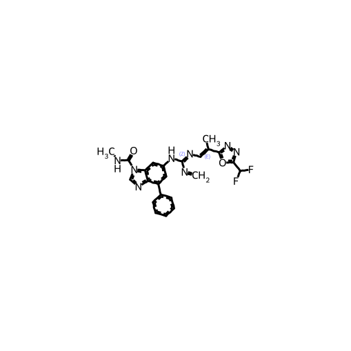 C=N/C(=N\C=C(/C)c1nnc(C(F)F)o1)Nc1cc(-c2ccccc2)c2ncn(C(=O)NC)c2c1